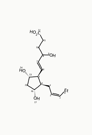 CC/C=C\C[C@@H]1[C@H](/C=C/C(O)CCC(=O)O)[C@@H](O)C[C@H]1O